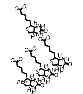 O=C([O-])CCCC[C@@H]1SC[C@@H]2NC(=O)N[C@@H]21.O=C([O-])CCCC[C@@H]1SC[C@@H]2NC(=O)N[C@@H]21.O=C([O-])CCCC[C@@H]1SC[C@@H]2NC(=O)N[C@@H]21.O=C([O-])CCCC[C@@H]1SC[C@@H]2NC(=O)N[C@@H]21.[Pt+4]